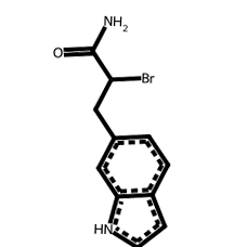 NC(=O)C(Br)Cc1ccc2cc[nH]c2c1